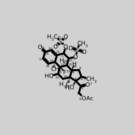 CC(=O)OCC(=O)[C@@]1(O)C(C)C[C@H]2[C@@H]3C(OS(C)(=O)=O)C(OS(C)(=O)=O)C4=CC(=O)C=C[C@]4(C)[C@@]3(F)C(O)C[C@@]21C